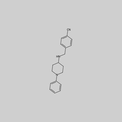 N#Cc1ccc(CNC2CCN(c3ccccc3)CC2)cc1